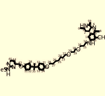 C=C1CCC(N(C)C(=C)c2ccc(NCCCOCCCOCCCCCCCOc3ccc(C(C)(C)c4ccc(OCc5ccnc(NSC)n5)cc4)cc3)cc2C=O)C(=C)N1